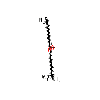 CCCCCCCCCCCCCCCC(=O)OCCCCCCCCCCCCCC(C)C